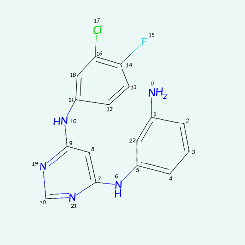 Nc1cccc(Nc2cc(Nc3ccc(F)c(Cl)c3)ncn2)c1